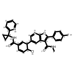 CNC(=O)c1c(-c2ccc(F)cc2)oc2ncc(C3C=C(C(=O)NC4(c5ccccn5)CC4)C=CC3Cl)cc12